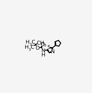 CC(C)(C)OC(=O)Nc1cnc(C2=CCCC2)s1